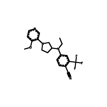 CCN(c1ccc(C#N)c(C(F)(F)F)c1)C1CCN(c2cnccc2OC)C1